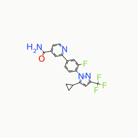 NC(=O)c1ccnc(-c2ccc(-n3nc(C(F)(F)F)cc3C3CC3)c(F)c2)c1